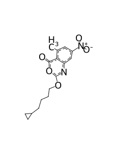 Cc1cc([N+](=O)[O-])cc2nc(OCCCCC3CC3)oc(=O)c12